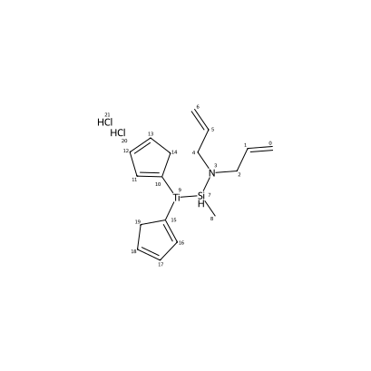 C=CCN(CC=C)[SiH](C)[Ti]([C]1=CC=CC1)[C]1=CC=CC1.Cl.Cl